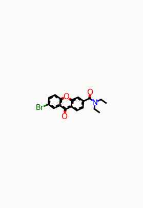 CCN(CC)C(=O)c1ccc2c(=O)c3cc(Br)ccc3oc2c1